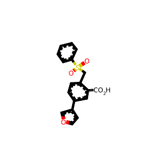 O=C(O)c1cc(-c2ccoc2)ccc1CS(=O)(=O)c1ccccc1